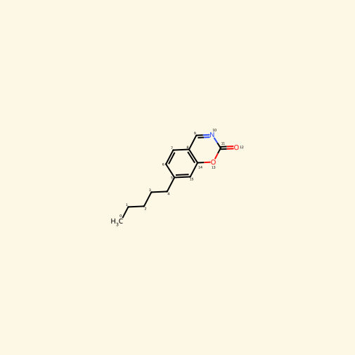 CCCCCc1ccc2cnc(=O)oc2c1